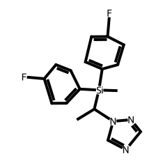 CC(n1cncn1)[Si](C)(c1ccc(F)cc1)c1ccc(F)cc1